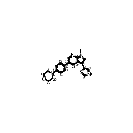 c1ncc(-c2c[nH]c3ncc(-c4ccc(N5CCOCC5)cc4)cc23)s1